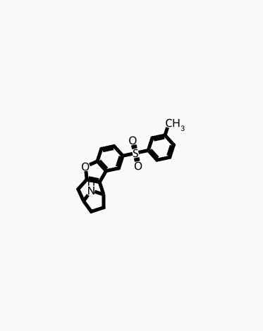 Cc1cccc(S(=O)(=O)c2ccc3oc4c(c3c2)C2CCC(C4)N2)c1